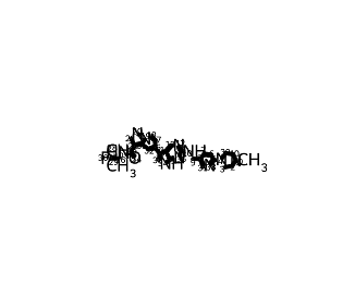 CN1CCN(c2ccc(CNc3ncc4c(-c5ccn6ncc(C(=O)NCC(C)(C)F)c6c5)c[nH]c4n3)cn2)CC1